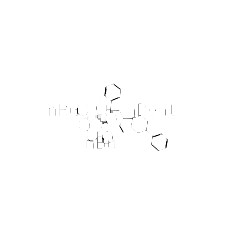 [CH]=CC(CC1(c2ccccc2)O[C@@H](C(=O)OCCCC)[C@H](C(=O)OCCCC)O1)C1(CCCCC)CCC(c2ccccc2)CC1